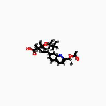 CC(=O)O[C@H](C)c1ccc2ccc(/C=C/C(C)(C(=O)O)C(C)(C)O[Si](C)(C)C(C)(C)C)cc2n1